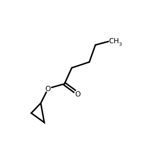 CCCCC(=O)OC1CC1